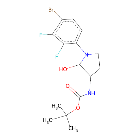 CC(C)(C)OC(=O)NC1CCN(c2ccc(Br)c(F)c2F)C1O